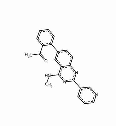 CNc1nc(-c2cccnc2)nc2ccc(-c3ccccc3C(C)=O)cc12